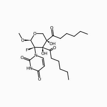 CCCCCC(=O)[C@]1(O)[C@](F)(n2ccc(=O)[nH]c2=O)[C@@H](OC)OC[C@]1(O)C(=O)CCCCC